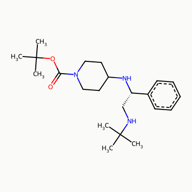 CC(C)(C)NC[C@H](NC1CCN(C(=O)OC(C)(C)C)CC1)c1ccccc1